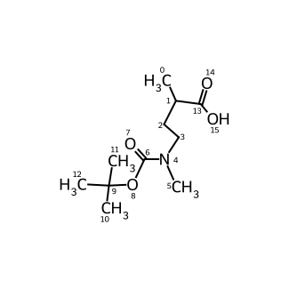 CC(CCN(C)C(=O)OC(C)(C)C)C(=O)O